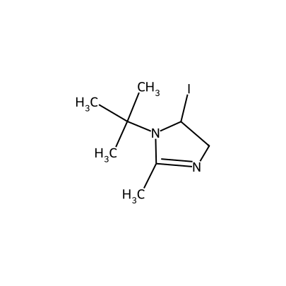 CC1=NCC(I)N1C(C)(C)C